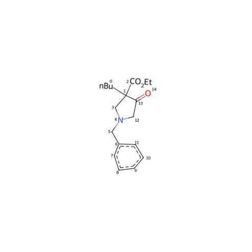 CCCCC1(C(=O)OCC)CN(Cc2ccccc2)CC1=O